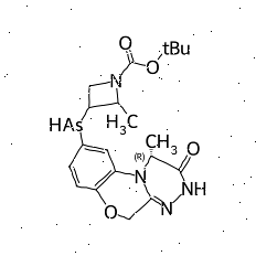 CC1C([AsH]c2ccc3c(c2)N2C(=NNC(=O)[C@H]2C)CO3)CN1C(=O)OC(C)(C)C